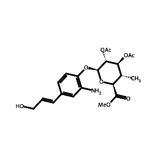 COC(=O)[C@H]1O[C@@H](Oc2ccc(/C=C/CO)cc2N)[C@H](OC(C)=O)[C@@H](OC(C)=O)[C@@H]1C